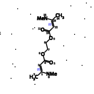 CN/C(C)=C\C(=O)OCCOC(=O)/C=C(/C)NC